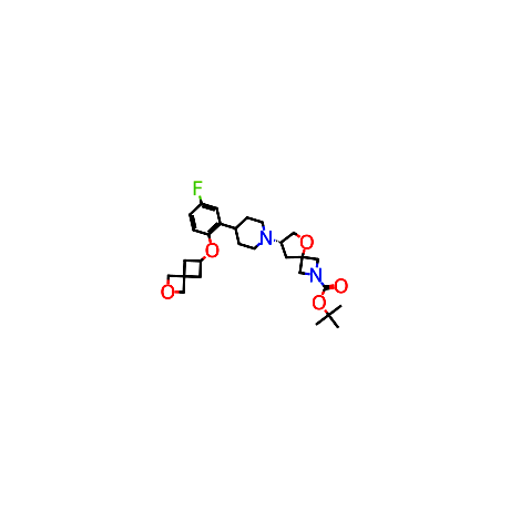 CC(C)(C)OC(=O)N1CC2(C[C@H](N3CCC(c4cc(F)ccc4OC4CC5(COC5)C4)CC3)CO2)C1